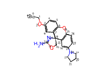 CC(C)(C)COc1ccc2c(c1)[C@]1(COC(N)=N1)c1cc(N3CCCC3)ccc1O2